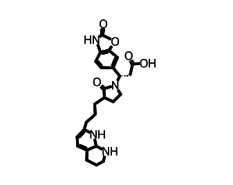 O=C(O)C[C@@H](c1ccc2[nH]c(=O)oc2c1)N1CCC(CCCC2=CC=C3CCCNC3N2)C1=O